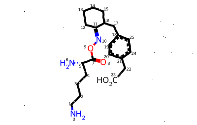 NCCCC[C@H](N)C(=O)ON=C1CCCCC1Cc1ccc(CC(=O)O)cc1